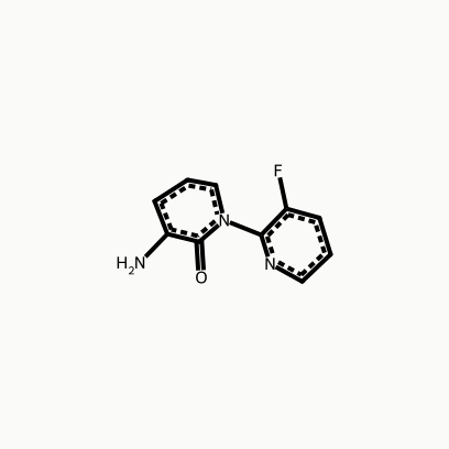 Nc1cccn(-c2ncccc2F)c1=O